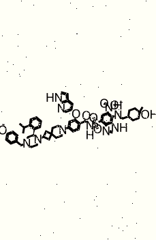 COc1ccc(CN2CCN(C3CC4(CCN(c5ccc(C(=O)NS(=O)(=O)c6cc([N+](=O)[O-])c(NCC7CCC(C)(O)CC7)c7[nH]cnc67)c(Oc6cnc7[nH]ccc7c6)c5)CC4)C3)[C@H](c3ccccc3C(C)C)C2)cc1